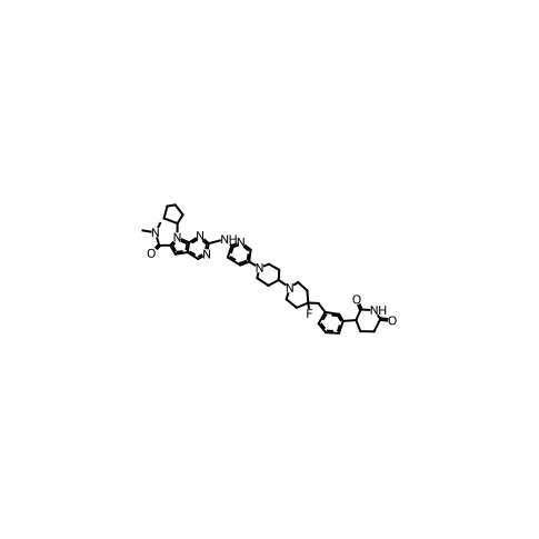 CN(C)C(=O)c1cc2cnc(Nc3ccc(N4CCC(N5CCC(F)(Cc6cccc(C7CCC(=O)NC7=O)c6)CC5)CC4)cn3)nc2n1C1CCCC1